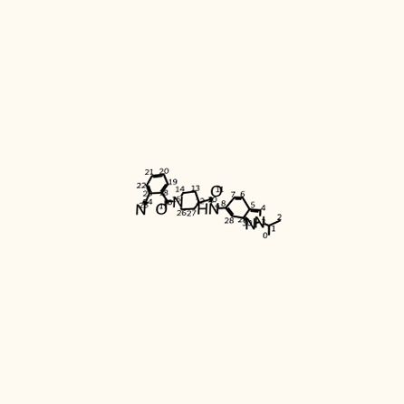 CC(C)n1cc2ccc(NC(=O)C3CCN(C(=O)c4ccccc4C#N)CC3)cc2n1